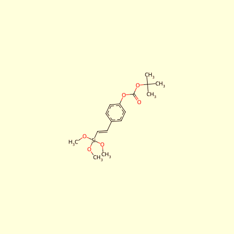 CO[Si](C=Cc1ccc(OC(=O)OC(C)(C)C)cc1)(OC)OC